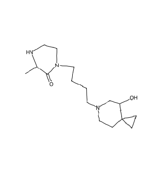 CC1NCCN(CCCCN2CCC3(CC3)C(O)C2)C1=O